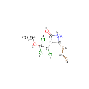 CCOC(=O)OC(Cl)(Cl)C(Cl)[C@@H]1C(=O)N[C@@H]1SC=S